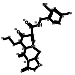 C=C1COC2CN3C=C(C(=O)NCc4ccc(F)cc4F)C(=O)C(CCC)C3C(=C)N12